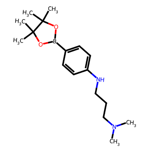 CN(C)CCCNc1ccc(B2OC(C)(C)C(C)(C)O2)cc1